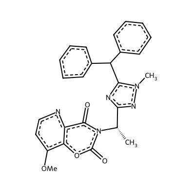 COc1ccnc2c(=O)n([C@@H](C)c3nc(C(c4ccccc4)c4ccccc4)n(C)n3)c(=O)oc12